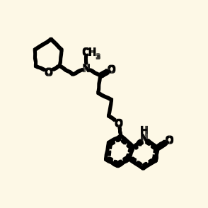 CN(CC1CCCCO1)C(=O)CCCOc1cccc2ccc(=O)[nH]c12